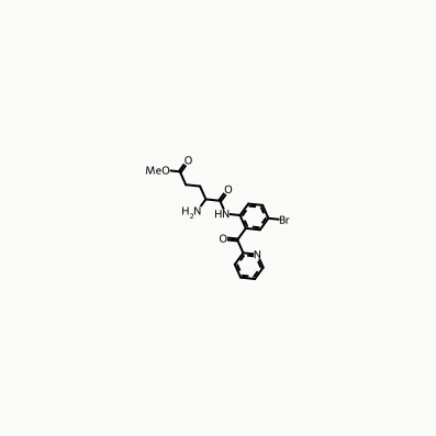 COC(=O)CCC(N)C(=O)Nc1ccc(Br)cc1C(=O)c1ccccn1